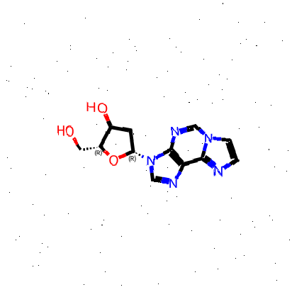 OC[C@H]1O[C@@H](n2cnc3c2ncn2ccnc32)CC1O